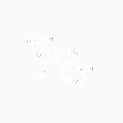 CSC[C@H](C1OC(C)(C)OC1=O)N(C(=O)O)C(C)(C)C